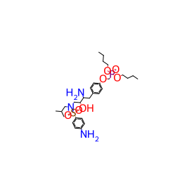 CCCCOP(=O)(COc1ccc(C[C@H](N)[C@H](O)CN(CC(C)C)S(=O)(=O)c2ccc(N)cc2)cc1)OCCCC